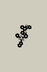 c1ccc(-c2nc(-c3ccc4ccccc4c3)nc(-c3cccc4oc5c(-c6cc7c8ccccc8oc7c7ccccc67)cccc5c34)n2)cc1